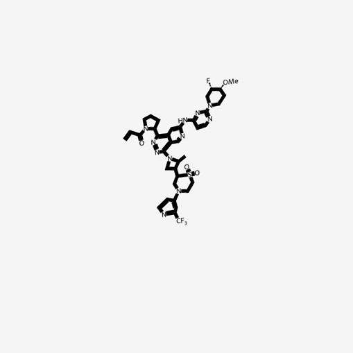 C=CC(=O)N1CCCC1c1nnc(N2CC(C3CN(c4ccnc(C(F)(F)F)c4)CCS3(=O)=O)C2C)c2cnc(Nc3ccnc(N4CC[C@@H](OC)[C@@H](F)C4)n3)cc12